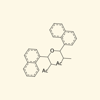 CC(=O)C(C)C(OC(c1cccc2ccccc12)C(C)C(C)=O)c1cccc2ccccc12